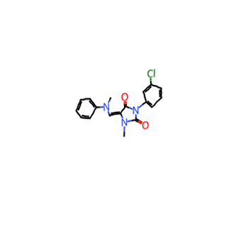 CN1C(=O)N(c2cccc(Cl)c2)C(=O)C1=CN(C)c1ccccc1